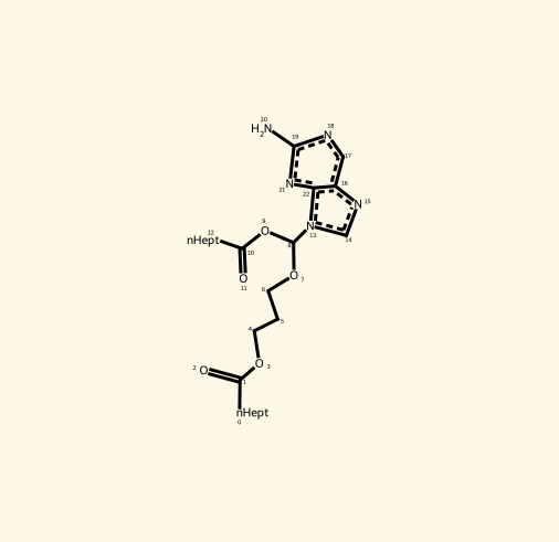 CCCCCCCC(=O)OCCCOC(OC(=O)CCCCCCC)n1cnc2cnc(N)nc21